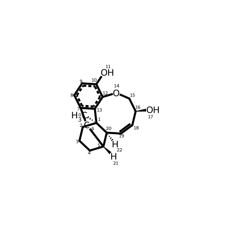 C[C@]12CCC[C@@H]3Cc4ccc(O)c(c41)OC[C@@H](O)/C=C\[C@@H]32